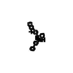 CC1(C)c2cc(C3=C4C=CC=CC4NC(c4ccc(-c5ccccc5)cc4)=N3)ccc2-c2cc3ccccc3cc21